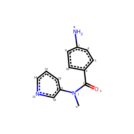 CN(C(=O)c1ccc(N)cc1)c1cccnc1